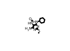 CSc1nc(N)c(NC=O)c(NC2CCCCC2)n1